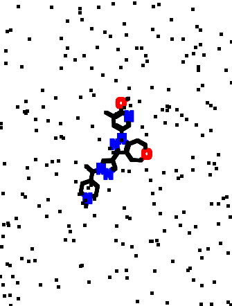 COc1ncc(-n2nc(-c3cnn(C(C)C4CCN(C)CC4)c3)c3c2CCOCC3)cc1C